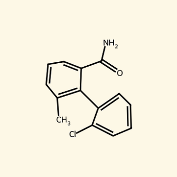 Cc1cccc(C(N)=O)c1-c1ccccc1Cl